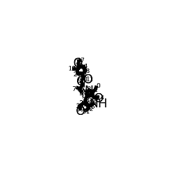 CCc1nn(CC(C)COC(=O)c2ccc(OC)c(C)c2)c2c1C(=O)NCC1(CCOCC1)C2